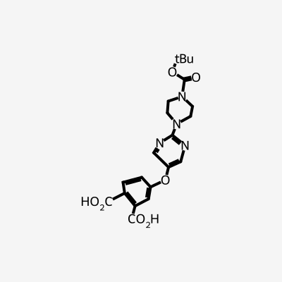 CC(C)(C)OC(=O)N1CCN(c2ncc(Oc3ccc(C(=O)O)c(C(=O)O)c3)cn2)CC1